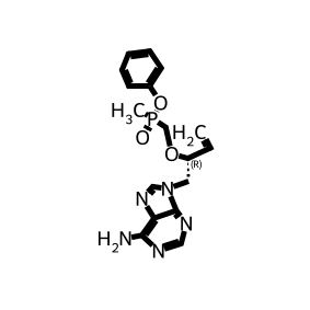 C=C[C@H](Cn1cnc2c(N)ncnc21)OCP(C)(=O)Oc1ccccc1